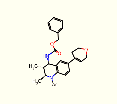 CC(=O)N1c2ccc(C3=CCOCC3)cc2[C@H](NC(=O)OCc2ccccc2)[C@@H](C)[C@@H]1C